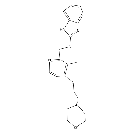 Cc1c(OCCN2CCOCC2)ccnc1CSc1nc2ccccc2[nH]1